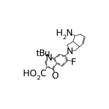 CC(C)(C)n1cc(C(=O)O)c(=O)c2cc(F)c(N3CC4C=CCC(N)C4C3)cc21